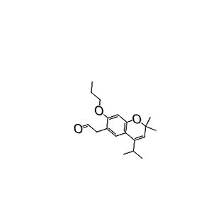 CCCOc1cc2c(cc1CC=O)C(C(C)C)=CC(C)(C)O2